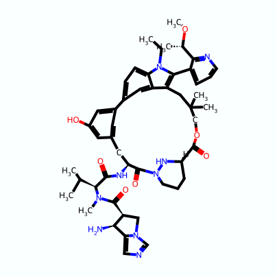 CCn1c(-c2cccnc2[C@H](C)OC)c2c3cc(ccc31)-c1cc(O)cc(c1)C[C@H](NC(=O)[C@H](C(C)C)N(C)C(=O)[C@H]1Cn3cncc3[C@H]1N)C(=O)N1CCC[C@H](N1)C(=O)OCC(C)(C)C2